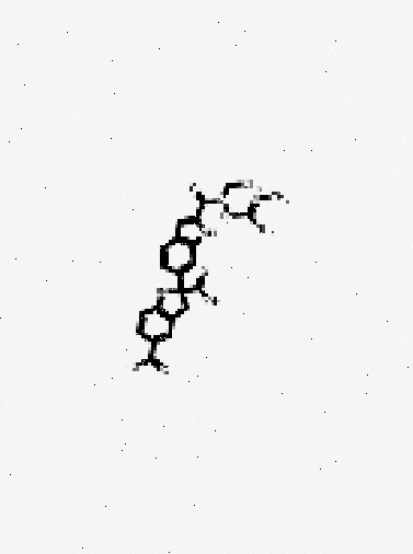 CCN(NC(N)=NC)C(=O)c1cc2ccc(C3(C(=O)O)Cc4cc(C(=O)O)ccc4N3)cc2[nH]1